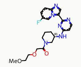 COCCOCC(=O)N1CCC[C@@H](Nc2ccnc(-c3cnc4ccc(F)cn34)n2)C1